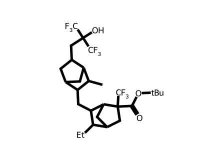 CCC1C2CC(C1CC1C3CC(CC(O)(C(F)(F)F)C(F)(F)F)C(C3)C1C)C(C(=O)OC(C)(C)C)(C(F)(F)F)C2